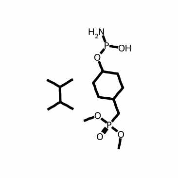 CC(C)C(C)C.COP(=O)(CC1CCC(OP(N)O)CC1)OC